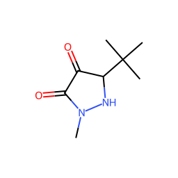 CN1NC(C(C)(C)C)C(=O)C1=O